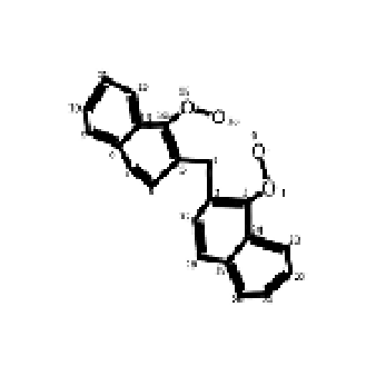 [O]Oc1c(Cc2ccc3ccccc3c2O[O])ccc2ccccc12